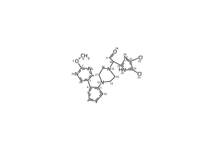 COc1ncc(-c2ccccc2N2CCN(C(C=O)c3nc(Cl)c(Cl)[nH]3)CC2)cn1